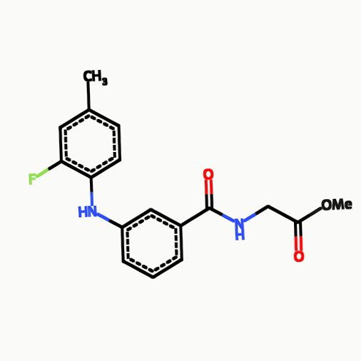 COC(=O)CNC(=O)c1cccc(Nc2ccc(C)cc2F)c1